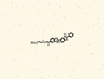 COCCOCCNc1ccc2nc(-c3ccc4nc(-c5ccccn5)[nH]c4c3)[nH]c2c1